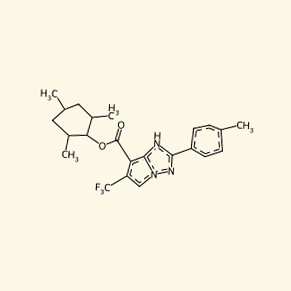 Cc1ccc(-c2nn3cc(C(F)(F)F)c(C(=O)OC4C(C)CC(C)CC4C)c3[nH]2)cc1